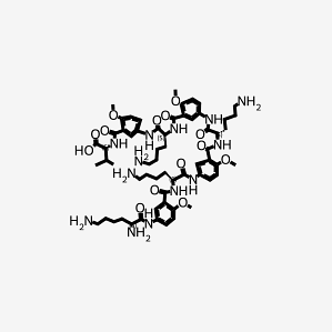 COc1ccc(NC(=O)[C@H](CCCCN)NC(=O)c2cc(NC(=O)[C@@H](N)CCCCN)ccc2OC)cc1C(=O)N[C@@H](CCCCN)C(=O)Nc1ccc(OC)c(C(=O)N[C@@H](CCCCN)C(=O)Nc2ccc(OC)c(C(=O)N[C@H](C(=O)O)C(C)C)c2)c1